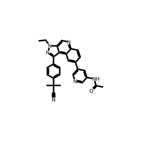 CCn1nc(-c2ccc(C(C)(C)C#N)cc2)c2c3cc(-c4cncc(NC(C)=O)c4)ccc3ncc21